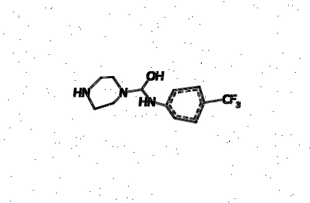 OC(Nc1ccc(C(F)(F)F)cc1)N1CCNCC1